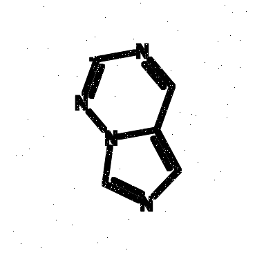 [c]1ncc2cncn2n1